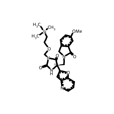 COc1ccc2c(c1)C(=O)N(C[C@@]1(c3cc4ncccc4o3)NC(=O)N(COCC[Si](C)(C)C)C1=O)C2